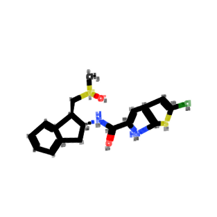 C[S+]([O-])C[C@@H]1c2ccccc2C[C@H]1NC(=O)c1cc2cc(Cl)sc2[nH]1